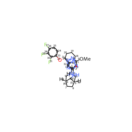 COc1cc(N2C[C@H]3CC[C@@H](C2)[C@@H]3Nc2nc3n(n2)CCC[C@H]3Oc2ccc(F)c(F)c2F)cnn1